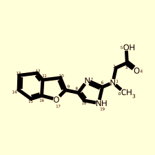 CN(CC(=O)O)c1nc(-c2cc3ccccc3o2)c[nH]1